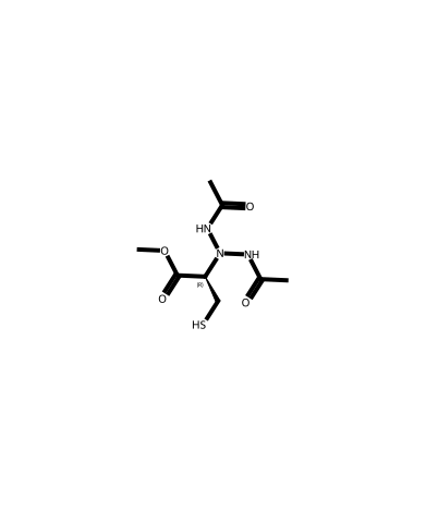 COC(=O)[C@H](CS)N(NC(C)=O)NC(C)=O